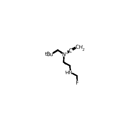 C=C=[N+](CCNCF)CC(C)(C)C